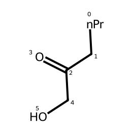 CCCCC(=O)CO